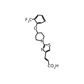 O=C(O)/C=C/c1csc(N2CCC(Oc3ccccc3C(F)(F)F)CC2)n1